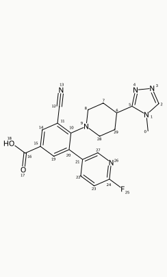 Cn1cnnc1C1CCN(c2c(C#N)cc(C(=O)O)cc2-c2ccc(F)nc2)CC1